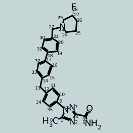 Cc1nc(C(N)=O)nn1-c1ccc(Cc2ccc(-c3ccc(CN4CCC[C@@H](F)C4)cc3)cc2)cc1